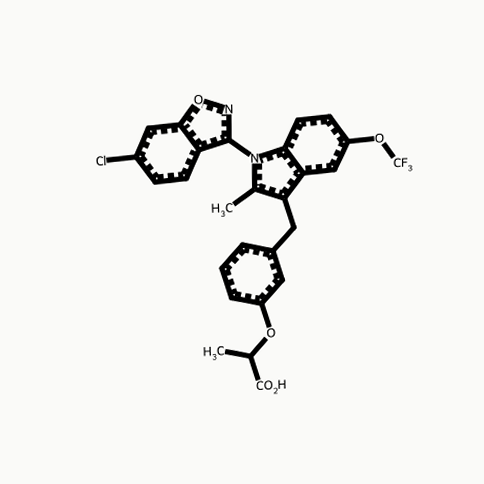 Cc1c(Cc2cccc(OC(C)C(=O)O)c2)c2cc(OC(F)(F)F)ccc2n1-c1noc2cc(Cl)ccc12